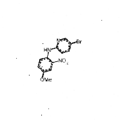 COc1ccc(Nc2ccc(Br)cn2)c([N+](=O)[O-])c1